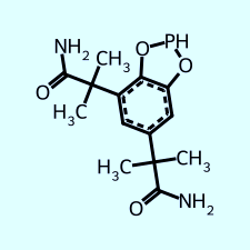 CC(C)(C(N)=O)c1cc2c(c(C(C)(C)C(N)=O)c1)OPO2